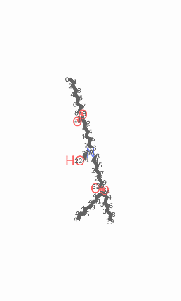 CCCCCCCCCOC(=O)CCCCCCCN(CCO)CCCCCCCC(=O)OC(CCCCCC)CCCCCCCC